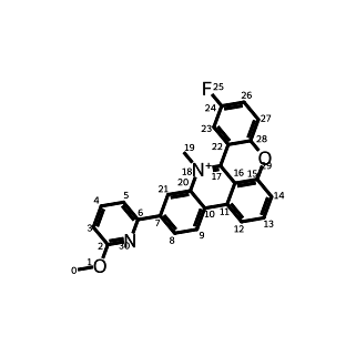 COc1cccc(-c2ccc3c4cccc5c4c([n+](C)c3c2)-c2cc(F)ccc2O5)n1